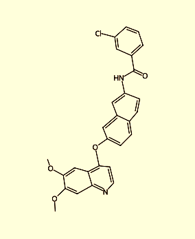 COc1cc2nccc(Oc3ccc4ccc(NC(=O)c5cccc(Cl)c5)cc4c3)c2cc1OC